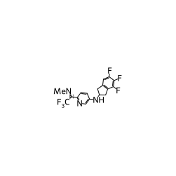 CN[C@@H](c1ccc(NC2Cc3cc(F)c(F)c(F)c3C2)cn1)C(F)(F)F